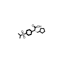 CC(C)S(=O)(=O)c1ccc([C@@H](CC2CCCC2)C(=O)O)cc1